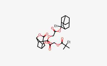 CCC(C)(C)C(=O)OCC(=O)OC1C2CC3C1OC(=O)C3(C(=O)OCC(=O)OC1(CC)C3CC4CC(C3)CC1C4)C2